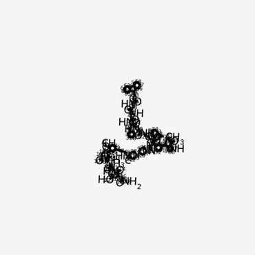 COc1ccc(C#CCNC2(C)CCN(C3CCN(c4nc([C@@](COCNC(=O)CNC(=O)[C@H](Cc5ccccc5)NC(=O)CNC(=O)CNC(=O)OCC5c6ccccc6-c6ccccc65)(OC5CC5)c5ccccc5)c5cc(-c6cn(C)c(=O)c7[nH]ccc67)ccc5n4)CC3)CC2)cc1N1CCC(=O)N(CNC(=O)CNC(=O)[C@@H](CC(N)=O)CC(=O)O)C1=O